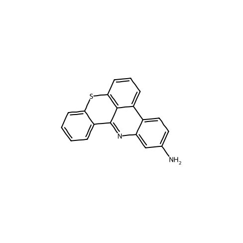 Nc1ccc2c(c1)nc1c3c(cccc32)Sc2ccccc2-1